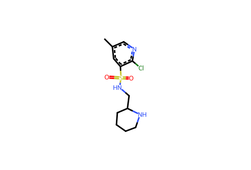 Cc1cnc(Cl)c(S(=O)(=O)NCC2CCCCN2)c1